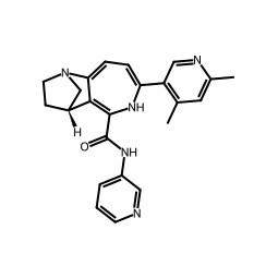 Cc1cc(C)c(C2=CC=C3C(=C(C(=O)Nc4cccnc4)N2)[C@@H]2CCN3C2)cn1